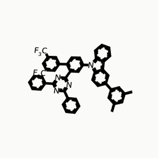 Cc1cc(C)cc(-c2ccc3c(c2)c2ccccc2n3-c2ccc(-c3cc(C(F)(F)F)cc(C(F)(F)F)c3)c(-c3nc(-c4ccccc4)nc(-c4ccccc4)n3)c2)c1